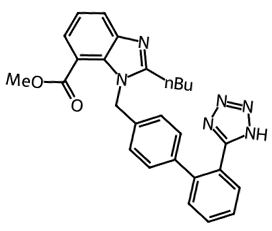 CCCCc1nc2cccc(C(=O)OC)c2n1Cc1ccc(-c2ccccc2-c2nnn[nH]2)cc1